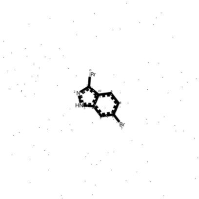 CC(C)c1n[nH]c2cc(Br)ccc12